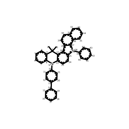 CC1(C)c2ccccc2N(c2ccc(-c3ccccc3)cc2)c2ccc3c(c21)c1ccc2ccccc2c1n3-c1ccccc1